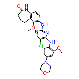 COc1cc(N2CCOCC2)ccc1Nc1nc(Nc2ccc3c(c2OC)CCCC(=O)N3)ncc1Cl